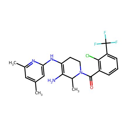 Cc1cc(C)nc(NC2=C(N)C(C)N(C(=O)c3cccc(C(F)(F)F)c3Cl)CC2)c1